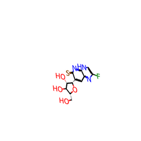 OC[C@H]1O[C@@H](c2cc3nc(F)c[nH]c-3nc2=S)[C@@H](O)C1O